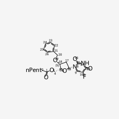 CCCCCC(=O)OC[C@H]1O[C@@H](n2cc(F)c(=O)[nH]c2=O)C[C@@H]1OCc1ccccc1